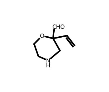 C=CC1(C=O)CNCCO1